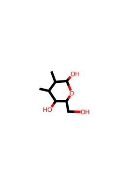 CC1C(O)OC(CO)C(O)C1C